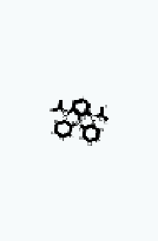 CC(C)Oc1cccc(OC(C)C)c1P(C1CCCCC1)C1CCCCC1